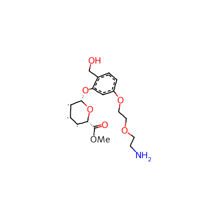 COC(=O)[C@@H]1[CH][CH][CH][C@H](Oc2cc(OCCOCCN)ccc2CO)O1